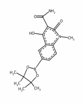 Cn1c(=O)c(C(N)=O)c(O)c2cc(B3OC(C)(C)C(C)(C)O3)ccc21